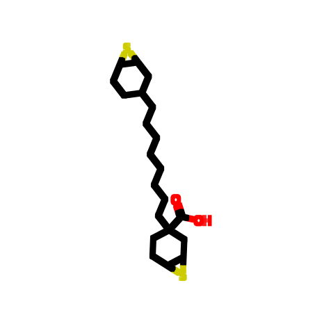 O=C(O)C1(CCCCCCCCC2CCC3SC3C2)CCC2SC2C1